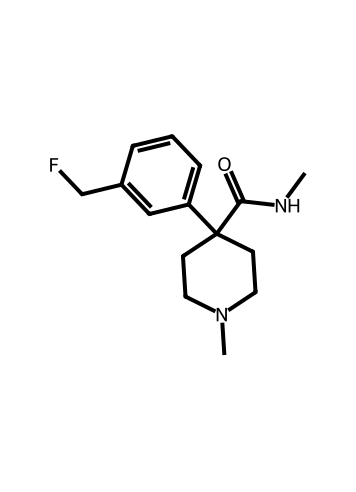 CNC(=O)C1(c2cccc(CF)c2)CCN(C)CC1